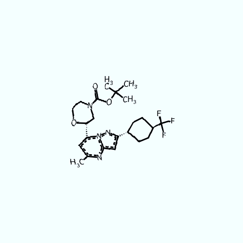 Cc1cc([C@H]2CN(C(=O)OC(C)(C)C)CCO2)n2nc([C@H]3CC[C@H](C(F)(F)F)CC3)cc2n1